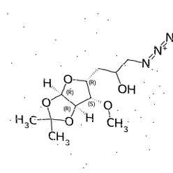 CO[C@@H]1[C@H]2OC(C)(C)O[C@H]2O[C@@H]1CC(O)CN=[N+]=[N-]